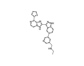 CCNCc1cncc(-c2ccc3[nH]nc(-c4nc5c(-c6cccs6)nccc5[nH]4)c3c2)c1